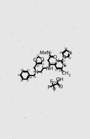 CNC(=O)CC(NCCN(CC1=COCO1)Cc1ccccc1)c1cc(C)nc(-n2ccnc2)n1.O=C(O)C(F)(F)F